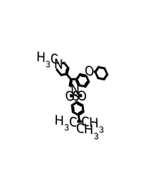 CN1CC=C(c2cn(S(=O)(=O)c3ccc(C(C)(C)C)cc3)c3ccc(OC4CCCCC4)cc23)CC1